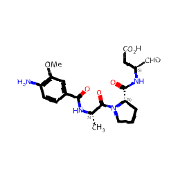 COc1cc(C(=O)N[C@@H](C)C(=O)N2CCC[C@H]2C(=O)N[C@H](C=O)CC(=O)O)ccc1N